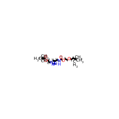 CC(C)(C)CCOCCOC(=O)NCc1cn(CCOC(=O)C(C)(C)C)nn1